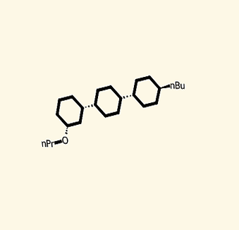 CCCC[C@H]1CC[C@H](C2CCC([C@H]3CCC[C@@H](OCCC)C3)CC2)CC1